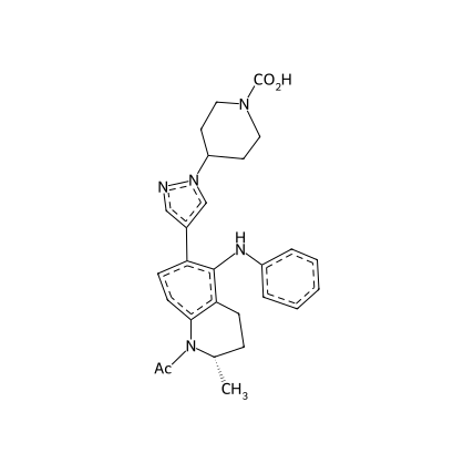 CC(=O)N1c2ccc(-c3cnn(C4CCN(C(=O)O)CC4)c3)c(Nc3ccccc3)c2CC[C@@H]1C